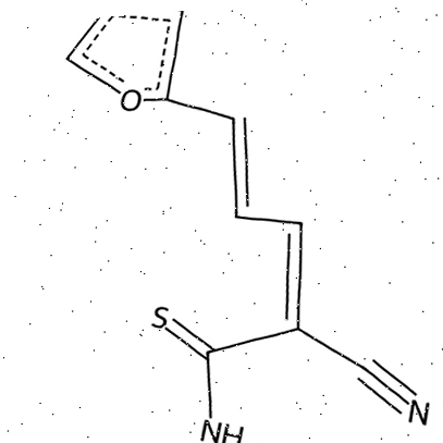 N#CC(=CC=Cc1ccco1)C(N)=S